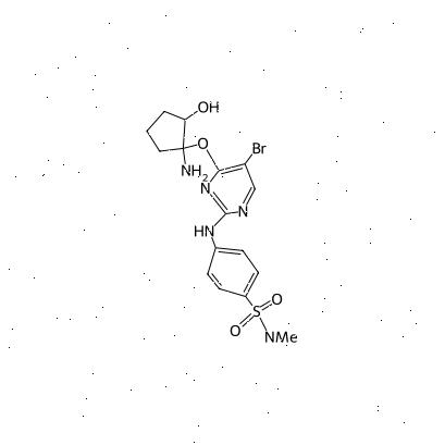 CNS(=O)(=O)c1ccc(Nc2ncc(Br)c(OC3(N)CCCC3O)n2)cc1